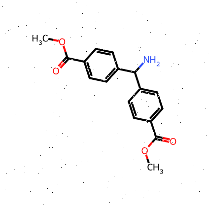 COC(=O)c1ccc(C(N)c2ccc(C(=O)OC)cc2)cc1